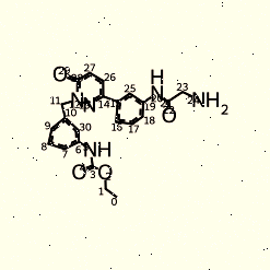 CCOC(=O)Nc1cccc(Cn2nc(-c3cccc(NC(=O)CN)c3)ccc2=O)c1